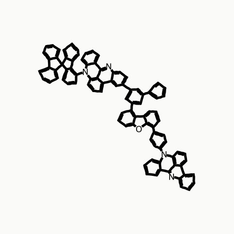 c1ccc(-c2cc(-c3ccc4nc5c6c(cccc6c4c3)N(c3cccc4c3-c3ccccc3C43c4ccccc4-c4ccccc43)c3ccccc3-5)cc(-c3cccc4oc5c(-c6ccc(N7c8ccccc8-c8nc9ccccc9c9cccc7c89)cc6)cccc5c34)c2)cc1